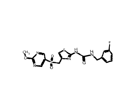 COc1ncc(S(=O)(=O)Cc2csc(NC(=O)NCc3cccc(F)c3)n2)cn1